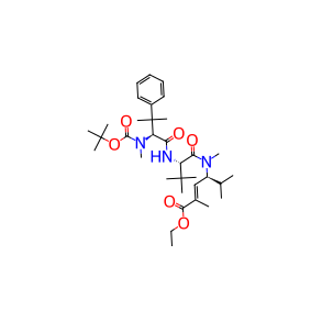 CCOC(=O)/C(C)=C/[C@H](C(C)C)N(C)C(=O)[C@@H](NC(=O)[C@@H](N(C)C(=O)OC(C)(C)C)C(C)(C)c1ccccc1)C(C)(C)C